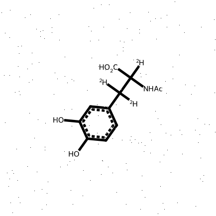 [2H]C(NC(C)=O)(C(=O)O)C([2H])([2H])c1ccc(O)c(O)c1